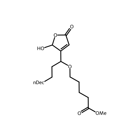 CCCCCCCCCCCCC(OCCCCC(=O)OC)C1=CC(=O)OC1O